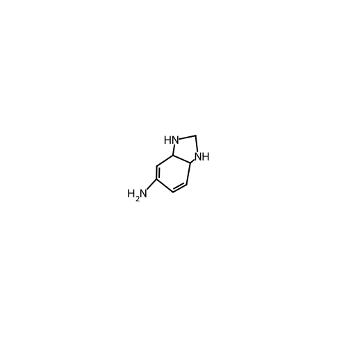 NC1=CC2NCNC2C=C1